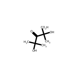 CC(C)(O)C(=O)C(C)(O)C(=O)O